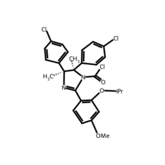 COc1ccc(C2=N[C@@](C)(c3ccc(Cl)cc3)[C@@](C)(c3ccc(Cl)cc3)N2C(=O)Cl)c(OC(C)C)c1